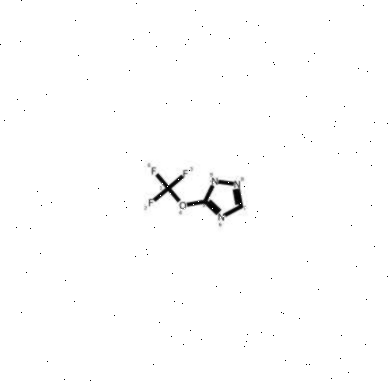 FC(F)(F)OC1=NC=N[N]1